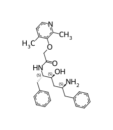 Cc1ccnc(C)c1OCC(=O)N[C@@H](Cc1ccccc1)[C@@H](O)C[C@@H](N)Cc1ccccc1